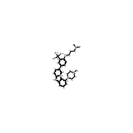 CN(C)CCCOc1ccc(-c2ccc3nc4cccc(N5CCN(C)CC5)c4n3c2)cc1C(F)(F)F